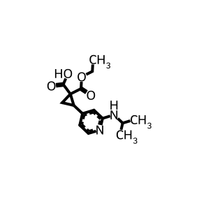 CCOC(=O)C1(C(=O)O)CC1c1ccnc(NC(C)C)c1